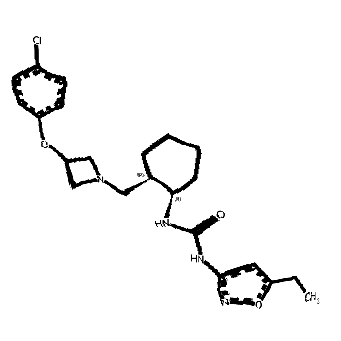 CCc1cc(NC(=O)N[C@@H]2CCCC[C@@H]2CN2CC(Oc3ccc(Cl)cc3)C2)no1